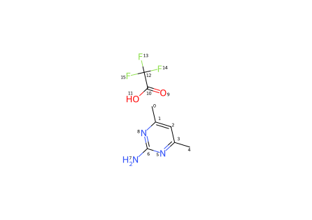 Cc1cc(C)nc(N)n1.O=C(O)C(F)(F)F